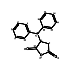 O=C1CC(P(c2ccccc2)c2ccccc2)C(=O)O1